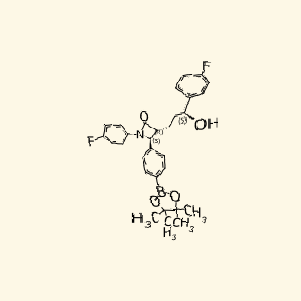 CC1(C)OB(c2ccc([C@@H]3[C@@H](CC[C@H](O)c4ccc(F)cc4)C(=O)N3c3ccc(F)cc3)cc2)OC1(C)C